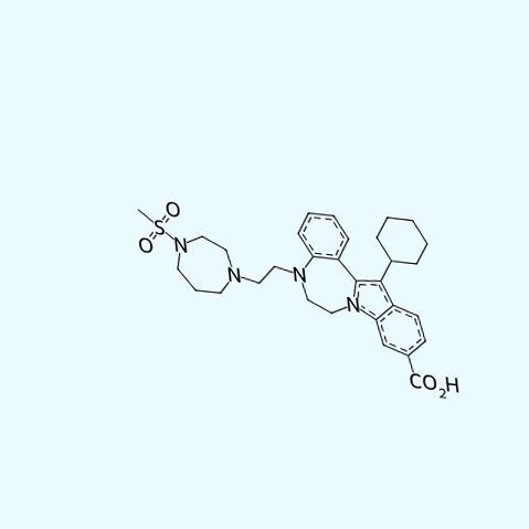 CS(=O)(=O)N1CCCN(CCN2CCn3c(c(C4CCCCC4)c4ccc(C(=O)O)cc43)-c3ccccc32)CC1